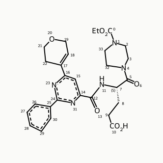 CCOC(=O)N1CCN(C(=O)[C@H](CCC(=O)O)NC(=O)c2cc(C3=CCOCC3)nc(-c3ccccc3)n2)CC1